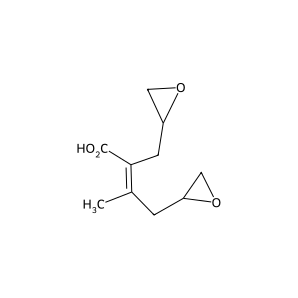 CC(CC1CO1)=C(CC1CO1)C(=O)O